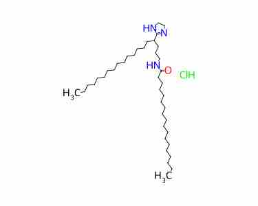 CCCCCCCCCCCCCCCCCC(=O)NCCCC(CCCCCCCCCCCCCCC)C1=NCCN1.Cl